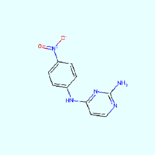 Nc1nccc(Nc2ccc([N+](=O)[O-])cc2)n1